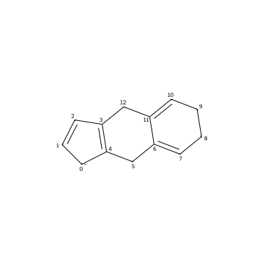 [CH]1C=CC2=C1CC1=CCCC=C1C2